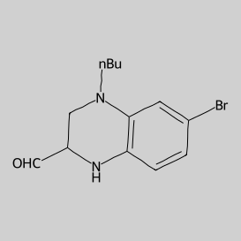 CCCCN1CC(C=O)Nc2ccc(Br)cc21